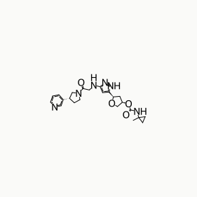 CC1(NC(=O)O[C@H]2CO[C@@H](c3cc(NCC(=O)N4CC[C@H](c5cccnc5)C4)n[nH]3)C2)CC1